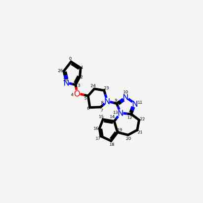 c1ccc(OC2CCN(c3nnc4n3-c3ccccc3CCC4)CC2)nc1